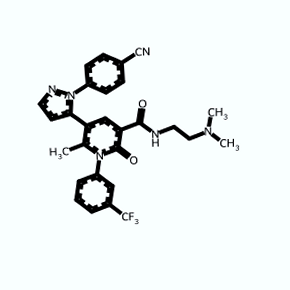 Cc1c(-c2ccnn2-c2ccc(C#N)cc2)cc(C(=O)NCCN(C)C)c(=O)n1-c1cccc(C(F)(F)F)c1